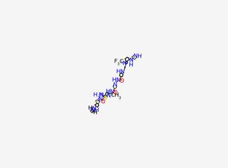 CC(NC(=O)C1CCN(CCNC(=O)c2ccc(NCC#Cc3cc4c(NC5CCNCC5)cccc4n3CC(F)(F)F)cc2)CC1)c1ccc2c(N)c(C(=O)N[C@H]3CCc4cc(N5C[C@H]6CC[C@@H](C5)N6)ccc4C3)sc2n1